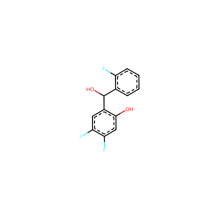 Oc1cc(F)c(F)cc1C(O)c1ccccc1F